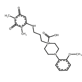 COc1ccccc1N1CC[N+](CCCNc2cc(=O)n(C)c(=O)n2C)(C(=O)O)CC1